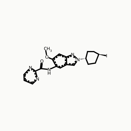 COc1cc2nn([C@H]3CC[C@H](I)CC3)cc2cc1NC(=O)c1ncccn1